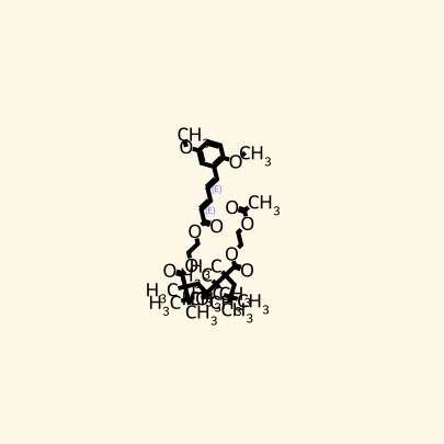 COc1ccc(OC)c(/C=C/C=C/C(=O)OCCOC(=O)C(C)(CC(C)(O)C(C)(C)C(C)(CC(C)(C)C)C(=O)OCCOC(C)=O)C(C)(C)C)c1